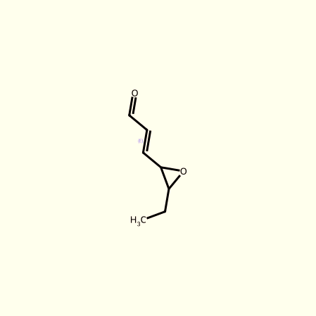 CCC1OC1/C=C/C=O